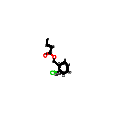 C/C=C/C(=O)OCc1ccccc1Cl